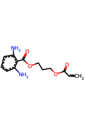 C=CC(=O)OCCCOC(=O)c1c(N)cccc1N